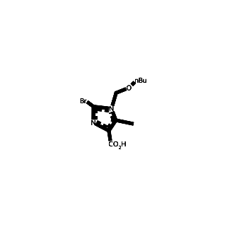 CCCCOCn1c(Br)nc(C(=O)O)c1C